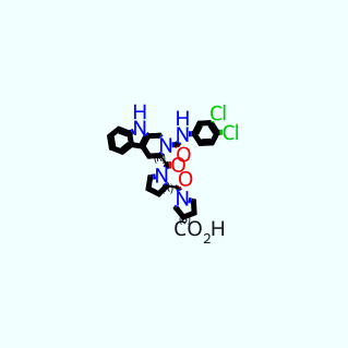 O=C(O)[C@H]1CCN(C(=O)[C@H]2CCCN2C(=O)[C@H]2Cc3c([nH]c4ccccc34)CN2C(=O)Nc2ccc(Cl)c(Cl)c2)C1